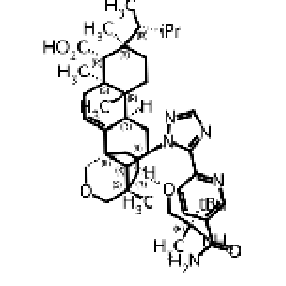 CC(C)[C@@H](C)[C@@]1(C)CC[C@]2(C)[C@H]3CC[C@@H]4[C@@]5(COC[C@@]4(C)[C@@H](OC[C@](C)(N)C(C)(C)C)[C@H](n4ncnc4-c4ccc(C(N)=O)cn4)C5)C3=CC[C@@]2(C)[C@@H]1C(=O)O